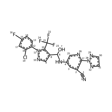 N#Cc1cc(NC(O)c2cnn(-c3ccc(F)cc3Cl)c2C(F)(F)F)cnc1-n1nccn1